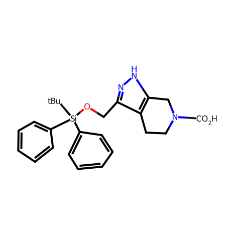 CC(C)(C)[Si](OCc1n[nH]c2c1CCN(C(=O)O)C2)(c1ccccc1)c1ccccc1